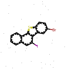 Brc1ccc2sc3c4ccccc4cc(I)c3c2c1